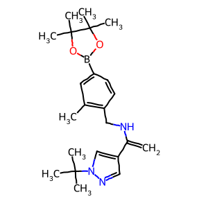 C=C(NCc1ccc(B2OC(C)(C)C(C)(C)O2)cc1C)c1cnn(C(C)(C)C)c1